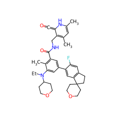 CCN(c1cc(-c2cc3c(cc2F)CCC32CCOCC2)cc(C(=O)NCC2=C(C)C=C(C)NC2=C=O)c1C)C1CCOCC1